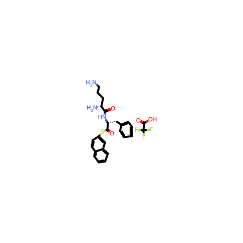 NCCC[C@@H](N)C(=O)N[C@H](Cc1ccccc1)C(=O)Sc1ccc2ccccc2c1.O=C(O)C(F)(F)F